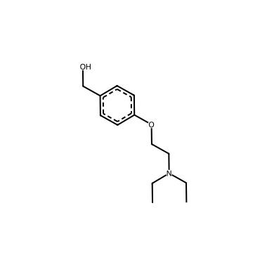 CCN(CC)CCOc1ccc(CO)cc1